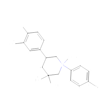 Cc1ccc(C2CC(C)(C(=O)O)C[N+](C(=O)[O-])(c3ccc([N+](=O)[O-])cc3)C2)cc1C(F)(F)F